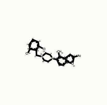 CC(=O)c1cc2c(C)c(N3CCN(Cc4c(Cl)cccc4Cl)CC3)ccc2o1